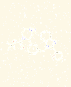 CC(C)(C)OC(=O)N1CCNCC1c1cccc(Cn2c(-c3ccco3)nc3ccccc32)c1